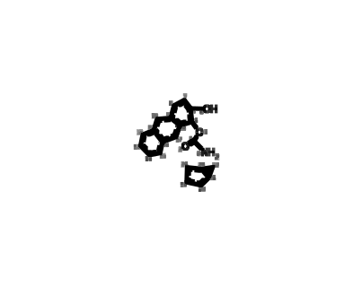 NC(=O)Oc1c(O)ccc2cc3ccccc3cc12.c1cc2cc-2c1